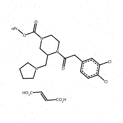 CCCOC(=O)N1CCN(C(=O)Cc2ccc(Cl)c(Cl)c2)C(CN2CCCC2)C1.O=C(O)C=CC(=O)O